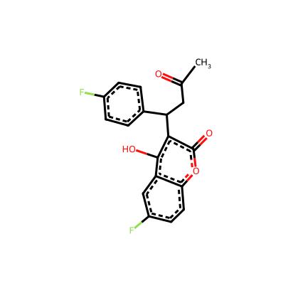 CC(=O)CC(c1ccc(F)cc1)c1c(O)c2cc(F)ccc2oc1=O